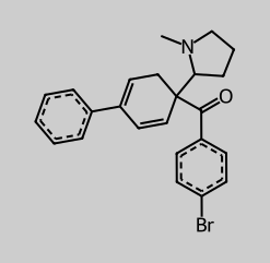 CN1CCCC1C1(C(=O)c2ccc(Br)cc2)C=CC(c2ccccc2)=CC1